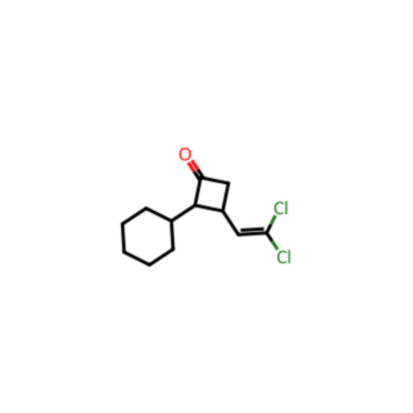 O=C1CC(C=C(Cl)Cl)C1C1CCCCC1